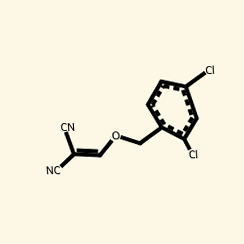 N#CC(C#N)=COCc1ccc(Cl)cc1Cl